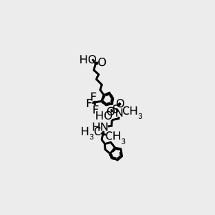 CN(CC(O)CNC(C)(C)CC1Cc2ccccc2C1)S(=O)(=O)c1ccc(CCCCCC(=O)O)c(C(F)(F)F)c1